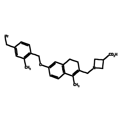 CC1=C(CN2CC(C(=O)O)C2)CCc2cc(OCc3ccc(CC(C)C)cc3C)ccc21